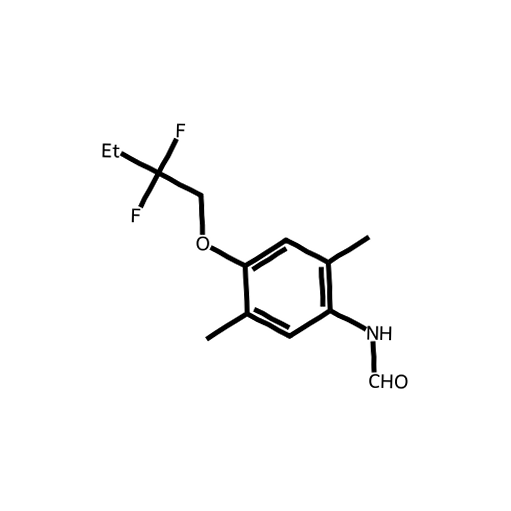 CCC(F)(F)COc1cc(C)c(NC=O)cc1C